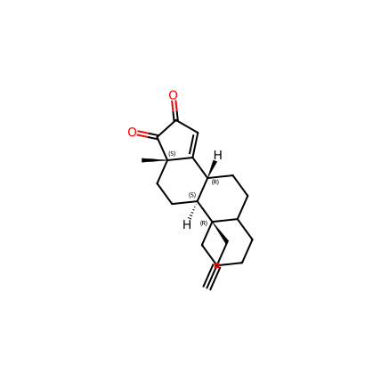 C#CC[C@]12CCCCC1CC[C@H]1C3=CC(=O)C(=O)[C@@]3(C)CC[C@@H]12